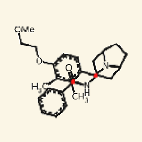 COCCOc1ccc(CN2C3CCC2CC(NC(=O)c2ccccc2)C3)c(C)c1C